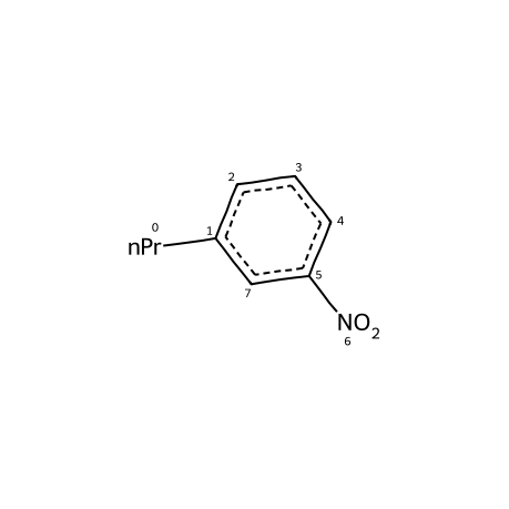 C[CH]Cc1cccc([N+](=O)[O-])c1